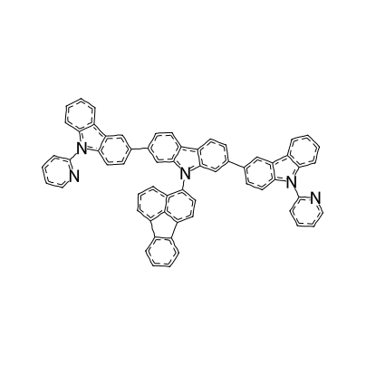 c1ccc(-n2c3ccccc3c3cc(-c4ccc5c6ccc(-c7ccc8c(c7)c7ccccc7n8-c7ccccn7)cc6n(-c6ccc7c8c(cccc68)-c6ccccc6-7)c5c4)ccc32)nc1